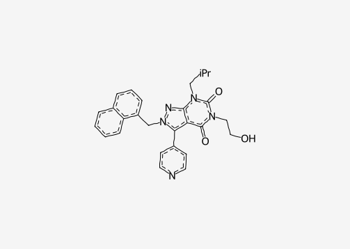 CC(C)Cn1c(=O)n(CCO)c(=O)c2c(-c3ccncc3)n(Cc3cccc4ccccc34)nc21